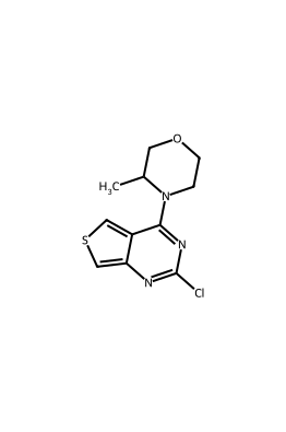 CC1COCCN1c1nc(Cl)nc2cscc12